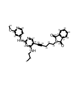 CCCNc1nc(Nc2ccnc(OC)c2)ncc1C#CCCCN1C(=O)c2ccccc2C1=O